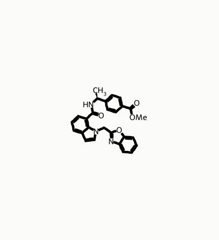 COC(=O)c1ccc([C@H](C)NC(=O)c2cccc3ccn(Cc4nc5ccccc5o4)c23)cc1